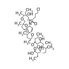 CCC(C(=O)[C@@H](C)[C@@H](O)[C@H](C)[C@@H]1O[C@@H]([C@@H](CC)C(=O)O)CC[C@@H]1C)[C@H]1O[C@]2(C=C[C@@H](NC(=O)CCCCCl)[C@]3(CC[C@@](C)([C@H]4CC[C@](O)(CC)[C@H](C)O4)O3)O2)[C@H](C)C[C@@H]1C